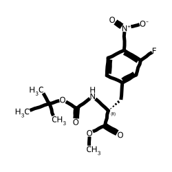 COC(=O)[C@@H](Cc1ccc([N+](=O)[O-])c(F)c1)NC(=O)OC(C)(C)C